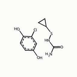 NC(=O)NSC1CC1.Oc1ccc(O)c(Cl)c1